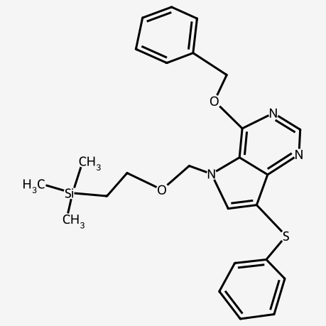 C[Si](C)(C)CCOCn1cc(Sc2ccccc2)c2ncnc(OCc3ccccc3)c21